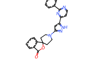 O=C1OC2(CCN(c3cc(-c4ccnc(-c5ccccc5)n4)[nH]n3)CC2)c2ccccc21